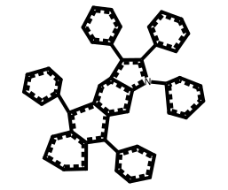 c1ccc(-c2c3ccccc3c(-c3ccccc3)c3cc4c(cc23)c(-c2ccccc2)c(-c2ccccc2)n4-c2ccccc2)cc1